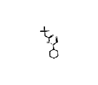 CC(C)(C)CC(=O)N[C@H](C=O)C1CCCCC1